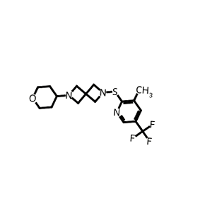 Cc1cc(C(F)(F)F)cnc1SN1CC2(C1)CN(C1CCOCC1)C2